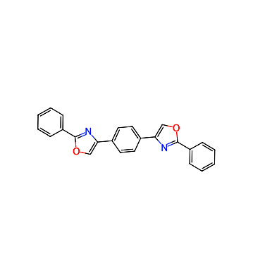 c1ccc(-c2nc(-c3ccc(-c4coc(-c5ccccc5)n4)cc3)co2)cc1